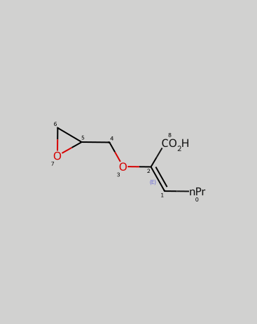 CCC/C=C(/OCC1CO1)C(=O)O